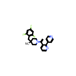 C=C(c1cccnc1-c1ccncc1)N1CCC(C#N)(Cc2c(F)cc(F)cc2F)CC1